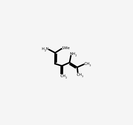 C=C(/C=C(/N)SC)C(N)=C(C)C